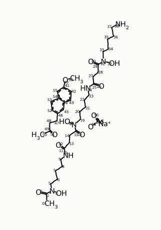 CC(=O)N(O)CCCCCNC(=O)CCC(=O)N(O)CCCCCNC(=O)CCC(=O)N(O)CCCCCN.COc1ccc2cc(CCC(C)=O)ccc2c1.O=[As][O-].[Na+]